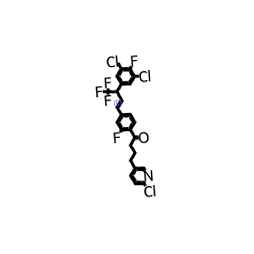 O=C(CCCc1ccc(Cl)nc1)c1ccc(/C=C/C(c2cc(Cl)c(F)c(Cl)c2)C(F)(F)F)cc1F